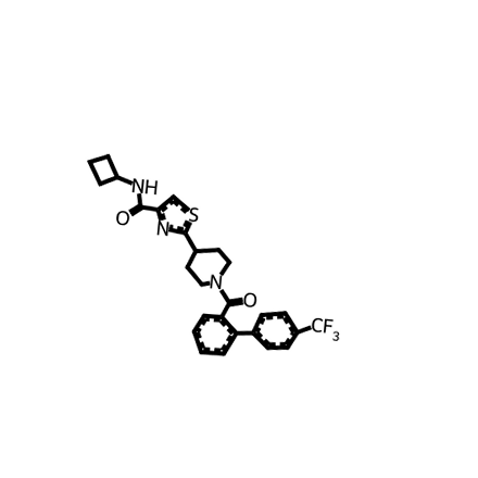 O=C(NC1CCC1)c1csc(C2CCN(C(=O)c3ccccc3-c3ccc(C(F)(F)F)cc3)CC2)n1